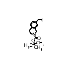 CC(C)(C)OC(=O)N1CCc2ccc(CI)cc2C1